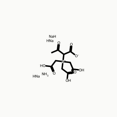 CC(=O)C(C(=O)[O-])[N+](CC(=O)O)(CC(=O)O)CC(=O)O.N.[NaH].[NaH].[NaH]